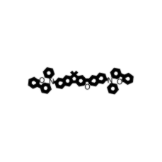 CC1(C)c2cc3cc(N(c4ccccc4)c4cccc5c4oc4ccccc45)ccc3cc2-c2cc3oc4cc5cc(N(c6ccccc6)c6cccc7c6oc6ccccc67)ccc5cc4c3cc21